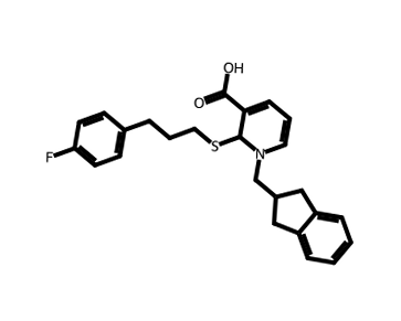 O=C(O)C1=CC=CN(CC2Cc3ccccc3C2)C1SCCCc1ccc(F)cc1